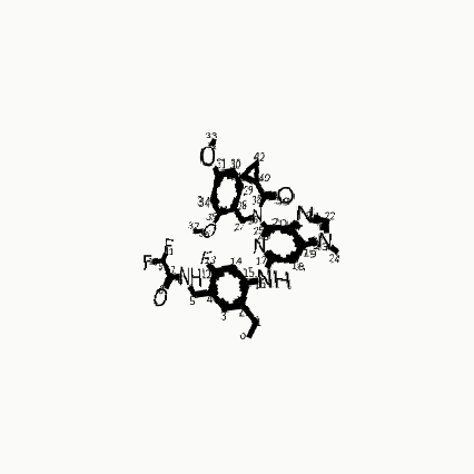 CCc1cc(CNC(=O)C(F)F)c(F)cc1Nc1cc2c(ncn2C)c(N(Cc2ccc(OC)cc2OC)C(=O)C2CC2)n1